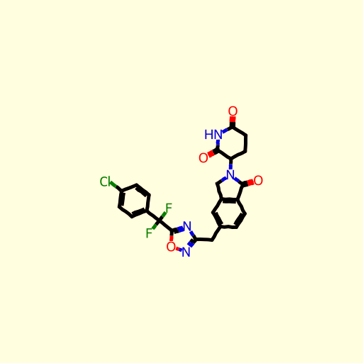 O=C1CCC(N2Cc3cc(Cc4noc(C(F)(F)c5ccc(Cl)cc5)n4)ccc3C2=O)C(=O)N1